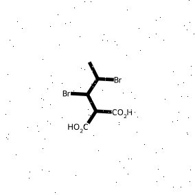 CC(Br)C(Br)C(C(=O)O)C(=O)O